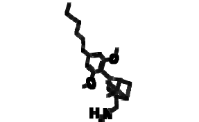 CCCCCCc1cc(OC)c(C2C=C(CN)C3CC2C3(C)C)c(OC)c1